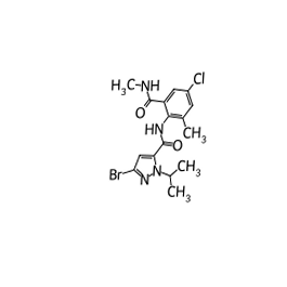 CNC(=O)c1cc(Cl)cc(C)c1NC(=O)c1cc(Br)nn1C(C)C